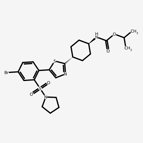 CC(C)OC(=O)N[C@H]1CC[C@H](c2ncc(-c3ccc(Br)cc3S(=O)(=O)N3CCCC3)s2)CC1